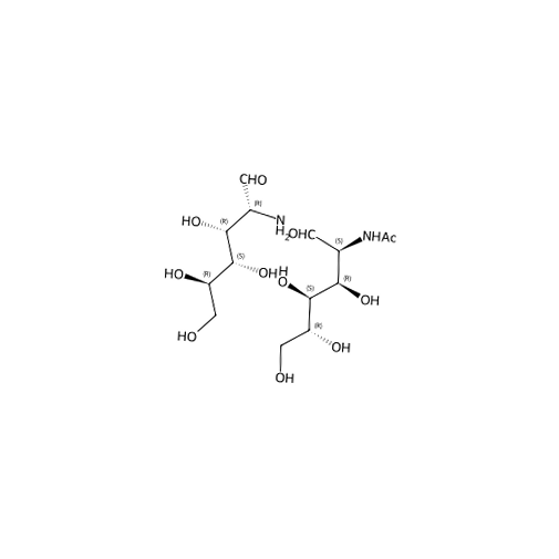 CC(=O)N[C@H](C=O)[C@@H](O)[C@H](O)[C@H](O)CO.N[C@@H](C=O)[C@@H](O)[C@H](O)[C@H](O)CO